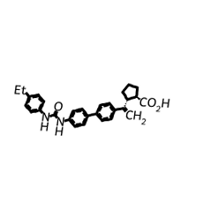 C=C(c1ccc(-c2ccc(NC(=O)Nc3ccc(CC)cc3)cc2)cc1)[C@@H]1CCC[C@H]1C(=O)O